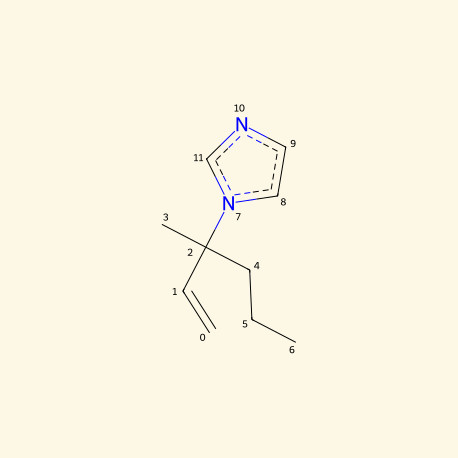 C=CC(C)(CCC)n1ccnc1